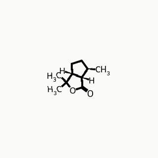 C[C@@H]1CC[C@@H]2[C@H]1C(=O)OC2(C)C